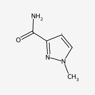 Cn1c[c]c(C(N)=O)n1